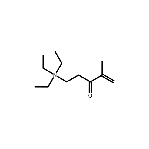 C=C(C)C(=O)CC[N+](CC)(CC)CC